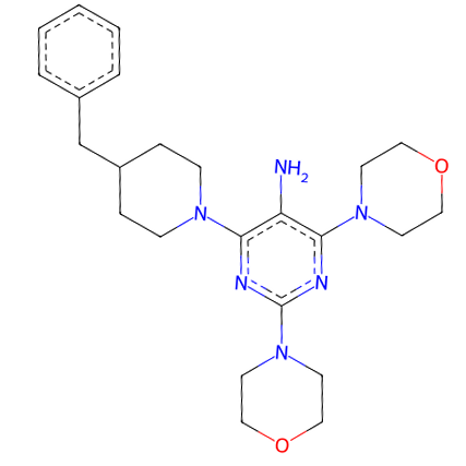 Nc1c(N2CCOCC2)nc(N2CCOCC2)nc1N1CCC(Cc2ccccc2)CC1